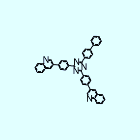 c1ccc(-c2ccc(-c3nc(-c4ccc(-c5cnc6ccccc6c5)cc4)nc(-c4ccc(-c5cnc6ccccc6c5)cc4)n3)cc2)cc1